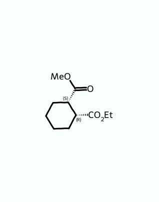 CCOC(=O)[C@@H]1CCCC[C@@H]1C(=O)OC